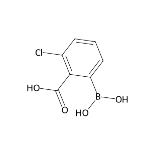 O=C(O)c1c(Cl)cccc1B(O)O